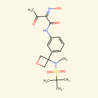 CC(=O)/C(=N/O)C(=O)Nc1cccc(C2(N(C)S(=O)(=O)C(C)(C)C)COC2)c1